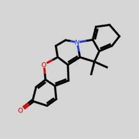 CC1(C)C2=CCCC=C2N2CCC3OC4=CC(=O)C=CC4=CC3=C21